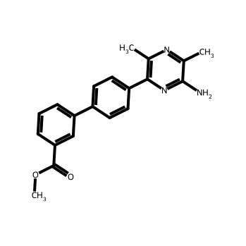 COC(=O)c1cccc(-c2ccc(-c3nc(N)c(C)nc3C)cc2)c1